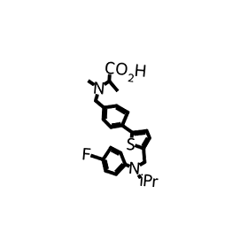 CC(C(=O)O)N(C)Cc1ccc(-c2ccc(CN(c3ccc(F)cc3)C(C)C)s2)cc1